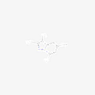 COc1cc(C(F)(F)F)n2nc(C)c(C)c2c1